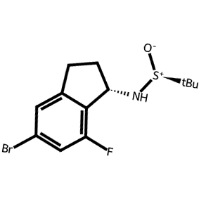 CC(C)(C)[S@+]([O-])N[C@H]1CCc2cc(Br)cc(F)c21